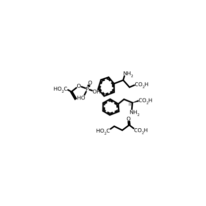 C=C(OP(=O)(O)O)C(=O)O.NC(CC(=O)O)c1ccccc1.N[C@@H](Cc1ccccc1)C(=O)O.O=C(O)CCC(=O)C(=O)O